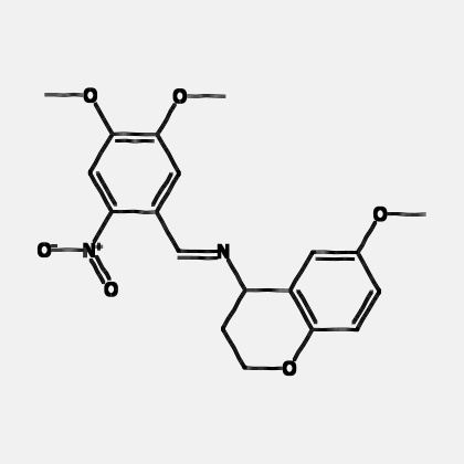 COc1ccc2c(c1)C(N=Cc1cc(OC)c(OC)cc1[N+](=O)[O-])CCO2